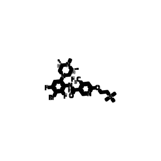 C[C@@H]1CN(c2cc(F)c(Br)c(F)c2NC(=O)c2cnc(OCCS(C)(C)C)cc2C(F)(F)F)C[C@H](C)N1C